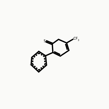 FC(F)(F)C1=CC=C(c2cc[c]cc2)C(=S)C1